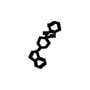 OC1(Nc2ncccn2)CCC(n2ccc3ccccc32)CC1